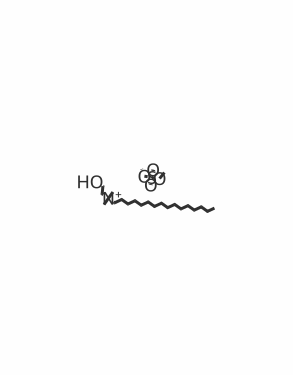 CCCCCCCCCCCCCCCC[N+](C)(C)CCO.COS(=O)(=O)OC